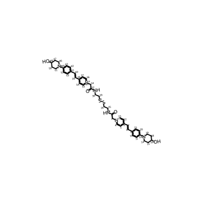 O=C(C[n+]1ccc(/C=C/c2ccc(N3CCC(O)CC3)cc2)cc1)NCCSSCCNC(=O)C[n+]1ccc(/C=C/c2ccc(N3CCC(O)CC3)cc2)cc1